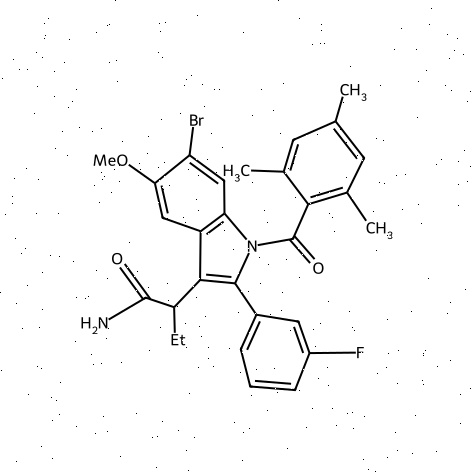 CCC(C(N)=O)c1c(-c2cccc(F)c2)n(C(=O)c2c(C)cc(C)cc2C)c2cc(Br)c(OC)cc12